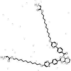 C=CC(=O)OCCCCCCCCCCCCOc1cnc(-c2ccc(C(=O)OC3OCCOC3OC(=O)c3ccc(-c4ncc(OCCCCCCCCCCCCOC(=O)C=C)cn4)cc3)cc2)nc1